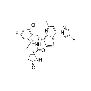 Cc1cc(-n2cc(F)cn2)c2cccc(OCc3c(Cl)cc(F)cc3[C@H](C)NC(=O)[C@@H]3CCC(=O)N3)c2n1